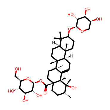 C[C@@H]1CC[C@]2(C(=O)O[C@@H]3O[C@H](CO)[C@@H](O)[C@H](O)[C@H]3O)CC[C@]3(C)C(=CC[C@@H]4[C@@]5(C)CC[C@H](O[C@@H]6OC[C@H](O)[C@H](O)[C@H]6O)C(C)(C)[C@@H]5CC[C@]43C)[C@@H]2[C@]1(C)O